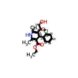 CCOC(=O)C1=C(C)NC(C)=C(C(=O)CO)C1c1ccccc1Cl